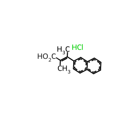 CC(C(=O)O)=C(C)c1ccc2ccccc2c1.Cl